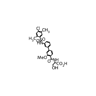 COc1cc(-c2cccc(NS(=O)(=O)c3cc(C)c(Cl)cc3C)c2)ccc1C(=O)NC(CO)C(=O)O